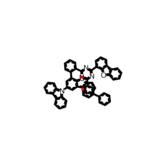 c1ccc(-c2cccc(-c3nc(-c4ccccc4-c4cc(-n5c6ccccc6c6ccccc65)cc5c4oc4ccccc45)nc(-c4cccc5c4oc4ccccc45)n3)c2)cc1